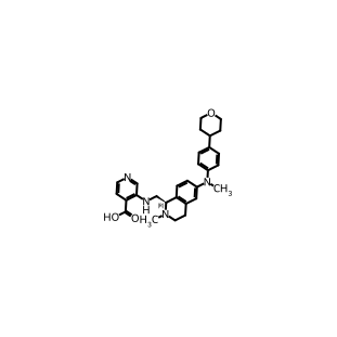 CN(c1ccc(C2CCOCC2)cc1)c1ccc2c(c1)CCN(C)[C@H]2CNc1cnccc1C(=O)O